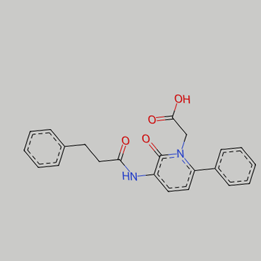 O=C(O)Cn1c(-c2ccccc2)ccc(NC(=O)CCc2ccccc2)c1=O